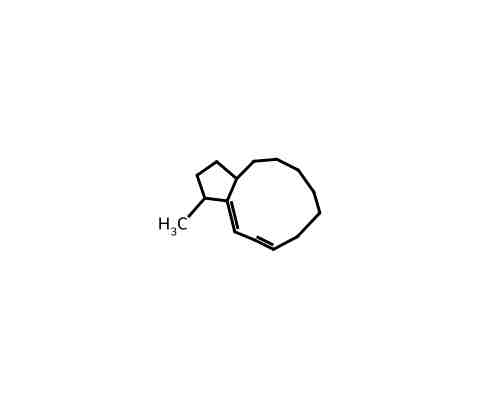 CC1CCC2CCCCCCC=CC=C12